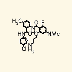 CNc1cc(F)c(C(=O)Nc2ccc(C)cc2C(=O)Nc2ccc(Cl)cn2)c(OCCCN)c1